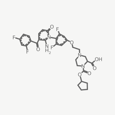 Nc1c(C(=O)c2ccc(F)cc2F)ccc(=O)n1-c1c(F)cc(OCCN2CCN(C(=O)OC3CCCC3)C(C(=O)O)C2)cc1F